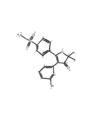 CC(C)c1cccc(C2=C(c3ccc(S(N)(=O)=O)cc3)OC(C)(C)C2=O)c1